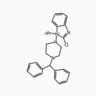 CCC[N+]1(N2CCN(C(c3ccccc3)c3ccccc3)CC2)C(Cl)=Nc2ccccc21